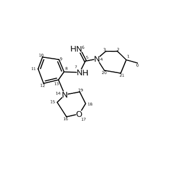 CC1CCN(C(=N)Nc2ccccc2N2CCOCC2)CC1